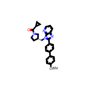 COc1ccc(-c2ccc(-c3nc4cccnc4n3C[C@@H]3CCN(C(=O)C4CC4)C3)cc2)cc1